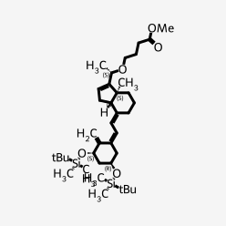 C=C1C(=CC=C2CCC[C@]3(C)C([C@H](C)OCCCC(=O)OC)=CC[C@@H]23)C[C@@H](O[Si](C)(C)C(C)(C)C)C[C@@H]1O[Si](C)(C)C(C)(C)C